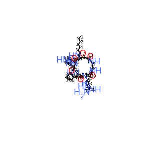 CCCCCCC(=O)N[C@H]1CCC(=O)NCCNC(=O)[C@H](CCCNC(=N)N)NC(=O)[C@@H](Cc2ccccc2)NC(=O)C(Cc2c[nH]cn2)NC1=O